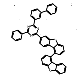 c1ccc(-c2cccc(-c3nc(-c4ccccc4)nc(-c4ccc5c(c4)sc4cccc(-c6cccc7sc8ccccc8c67)c45)n3)c2)cc1